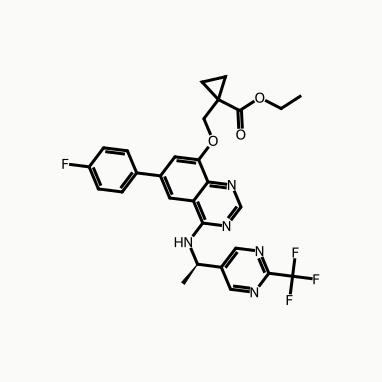 CCOC(=O)C1(COc2cc(-c3ccc(F)cc3)cc3c(N[C@H](C)c4cnc(C(F)(F)F)nc4)ncnc23)CC1